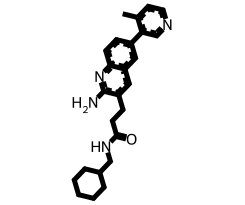 Cc1ccncc1-c1ccc2nc(N)c(CCC(=O)NCC3CCCCC3)cc2c1